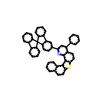 c1ccc(-c2cc(-c3ccc4c(c3)-c3ccccc3C43c4ccccc4-c4ccccc43)nc3c2ccc2sc4ccc5ccccc5c4c23)cc1